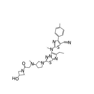 CCc1nc2sc(N3CC[C@@H](N(C)CC(=O)N4CC(O)C4)C3)nn2c1N(C)c1nc(-c2ccc(C)cc2)c(C#N)s1